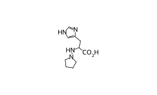 O=C(O)C(Cc1c[nH]cn1)NN1CCCC1